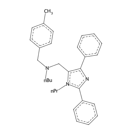 CCCCN(Cc1ccc(C)cc1)Cc1c(-c2ccccc2)nc(-c2ccccc2)n1CCC